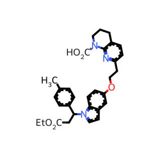 CCOC(=O)CC(c1ccc(C)cc1)n1ccc2cc(OCCc3ccc4c(n3)N(C(=O)O)CCC4)ccc21